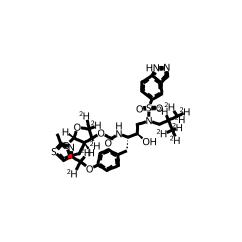 [2H]C([2H])(Oc1ccc(C[C@H](NC(=O)O[C@]2([2H])[C@@H]3CCO[C@@H]3OC2([2H])[2H])[C@H](O)CN(CC([2H])(C([2H])([2H])[2H])C([2H])([2H])[2H])S(=O)(=O)c2ccc3[nH]ncc3c2)cc1)c1csc(C)n1